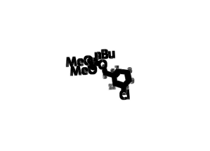 CCCC[Si](OC)(OC)OCc1cccc(Cl)c1